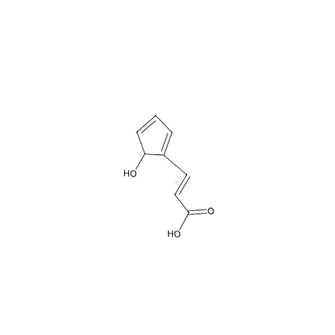 O=C(O)/C=C/C1=CC=CC1O